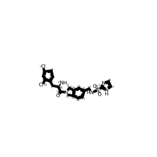 N[C@H](Cc1ccc(Cl)cc1Cl)C(=O)N1Cc2ccc(CNS(=O)(=O)c3ncc[nH]3)cc2C1